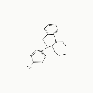 FC(F)(F)c1ccc(N2Cc3ccccc3N3CCCCCC23)cc1